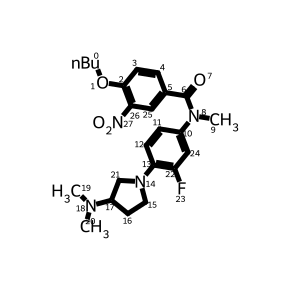 CCCCOc1ccc(C(=O)N(C)c2ccc(N3CCC(N(C)C)C3)c(F)c2)cc1[N+](=O)[O-]